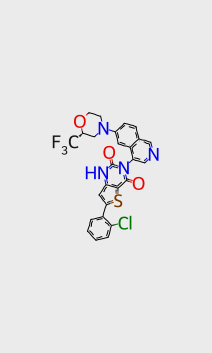 O=c1[nH]c2cc(-c3ccccc3Cl)sc2c(=O)n1-c1cncc2ccc(N3CCO[C@H](C(F)(F)F)C3)cc12